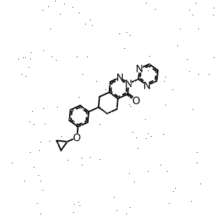 O=c1c2c(cnn1-c1ncccn1)CC(c1cccc(OC3CC3)c1)CC2